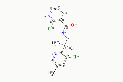 Cc1cnc(C(C)(C)CNC(=O)c2cccnc2Cl)c(Cl)c1